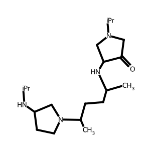 CC(C)NC1CCN(C(C)CCC(C)NC2CN(C(C)C)CC2=O)C1